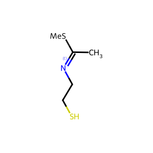 CS/C(C)=N/CCS